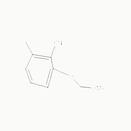 COCOc1cccc(C)c1C#N